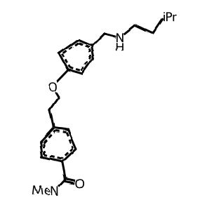 CNC(=O)c1ccc(CCOc2ccc(CNCCC(C)C)cc2)cc1